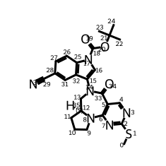 CSc1ncc2c(n1)N1CCC[C@H]1CN(c1cn(C(=O)OC(C)(C)C)c3ccc(C#N)cc13)C2=O